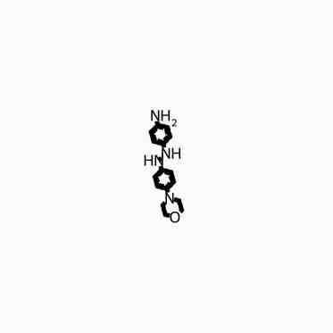 Nc1ccc(NNc2ccc(N3CCOCC3)cc2)cc1